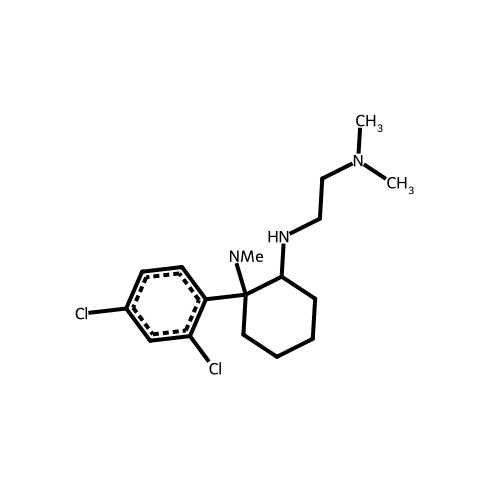 CNC1(c2ccc(Cl)cc2Cl)CCCCC1NCCN(C)C